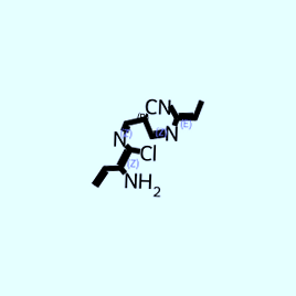 C=C/C(N)=C(Cl)\N=C/[C@H](C#N)/C=N\C(C)=C\C